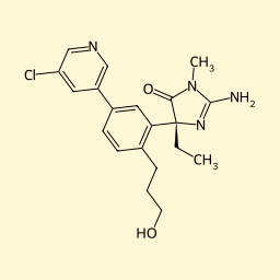 CC[C@]1(c2cc(-c3cncc(Cl)c3)ccc2CCCO)N=C(N)N(C)C1=O